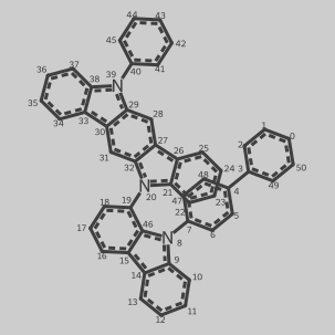 c1ccc(-c2ccc(-n3c4ccccc4c4cccc(-n5c6ccccc6c6cc7c(cc65)c5ccccc5n7-c5ccccc5)c43)cc2)cc1